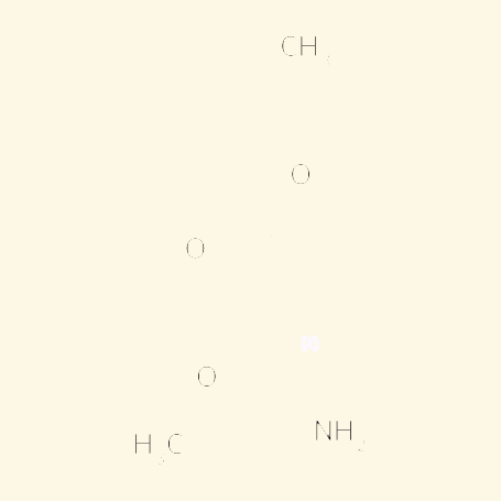 CCOC(=O)/C=C(/N)OC